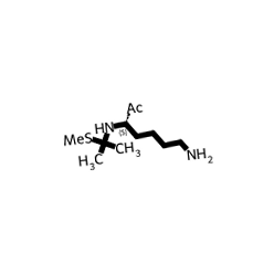 CSC(C)(C)N[C@@H](CCCCN)C(C)=O